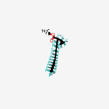 C=COC(=O)C(F)(C(F)(F)C(F)(F)C(F)(F)C(F)(F)C(F)(F)C(F)(F)C(F)(F)C(F)(F)C(F)(F)C(F)(F)F)C1(F)C(F)(F)C1(F)F